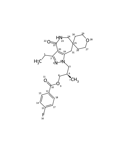 CCc1nn(C[C@@H](C)COC(=O)c2ccc(F)cc2)c2c1C(=O)NCC1(CCOCC1)C2